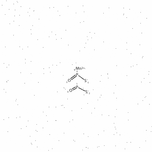 O=P[S-].O=P[S-].[Mn+2]